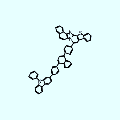 c1ccc(-n2c3ccccc3c3ccc(-c4ccc(-c5ccc(-c6ccc(-c7cc8c9ccccc9sc8c8nc9c%10ccccc%10ccc9n78)cc6)c6ccccc56)cc4)cc32)cc1